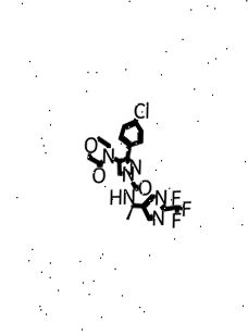 C[C@@H](NC(=O)N1CC(N2CCOCC2=O)C(c2ccc(Cl)cc2)=N1)c1cnc(C(F)(F)F)nc1